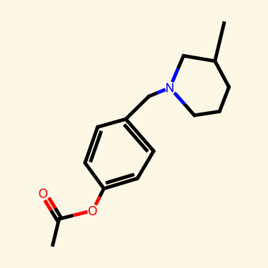 CC(=O)Oc1ccc(CN2CCCC(C)C2)cc1